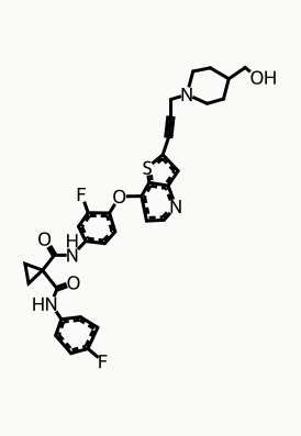 O=C(Nc1ccc(F)cc1)C1(C(=O)Nc2ccc(Oc3ccnc4cc(C#CCN5CCC(CO)CC5)sc34)c(F)c2)CC1